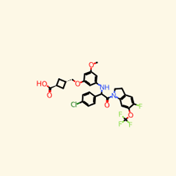 COc1cc(NC(C(=O)N2CCc3cc(F)c(OC(F)(F)F)cc32)c2ccc(Cl)cc2)cc(OC[C@H]2C[C@H](C(=O)O)C2)c1